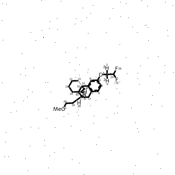 [2H]C([2H])(Oc1ccc2c(c1)[C@]13CCCC[C@@H]1[C@H](C2)N(CCOC)CC3)C(F)F